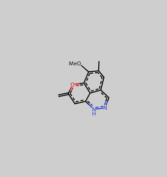 C=c1cc2[nH]ncc3cc(C)c(OC)c(o1)c3-2